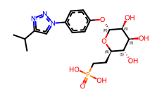 CC(C)c1cn(-c2ccc(O[C@H]3O[C@H](CCP(=O)(O)O)[C@@H](O)[C@H](O)[C@@H]3O)cc2)nn1